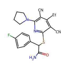 CCc1c(C#N)c(SC(C(N)=O)c2ccc(F)cc2)nc(N2CCCC2)c1C#N